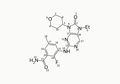 CCn1c(=O)n(C2CCOCC2)c2nc(Nc3cc(C)cc(C(N)=O)c3F)ncc21